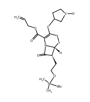 C=CCOC(=O)C1=C(SC2CC[S+]([O-])C2)SS[C@@H]2[C@@H](CCO[Si](C)(C)C(C)(C)C)C(=O)N12